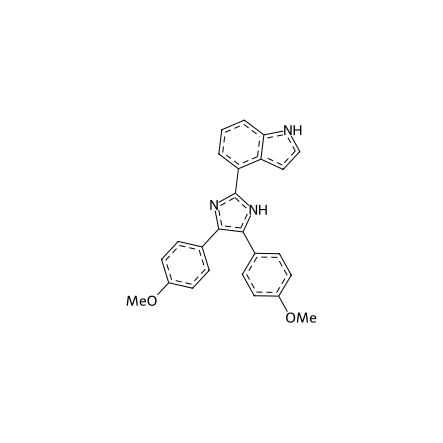 COc1ccc(-c2nc(-c3cccc4[nH]ccc34)[nH]c2-c2ccc(OC)cc2)cc1